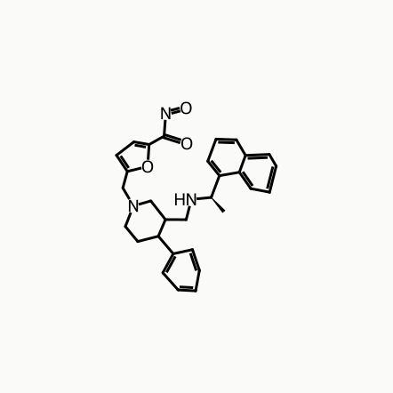 C[C@@H](NCC1CN(Cc2ccc(C(=O)N=O)o2)CCC1c1ccccc1)c1cccc2ccccc12